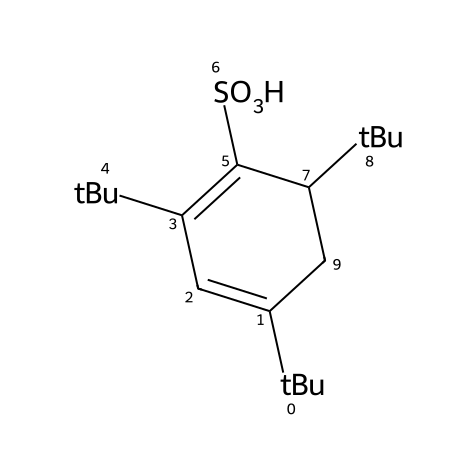 CC(C)(C)C1=CC(C(C)(C)C)=C(S(=O)(=O)O)C(C(C)(C)C)C1